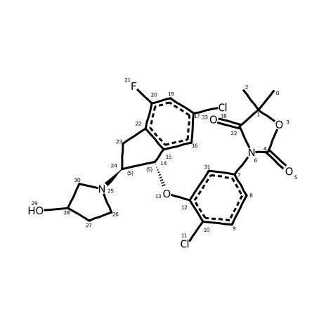 CC1(C)OC(=O)N(c2ccc(Cl)c(O[C@H]3c4cc(Cl)cc(F)c4C[C@@H]3N3CCC(O)C3)c2)C1=O